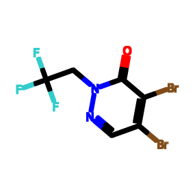 O=c1c(Br)c(Br)cnn1CC(F)(F)F